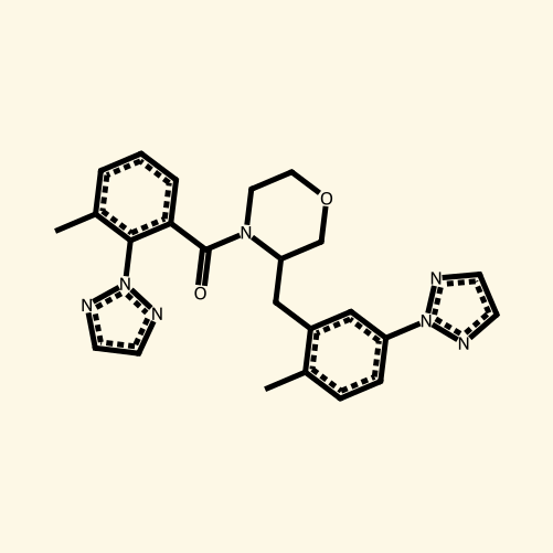 Cc1ccc(-n2nccn2)cc1CC1COCCN1C(=O)c1cccc(C)c1-n1nccn1